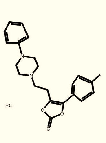 Cc1ccc(-c2oc(=O)oc2CCN2CCN(c3ccccc3)CC2)cc1.Cl